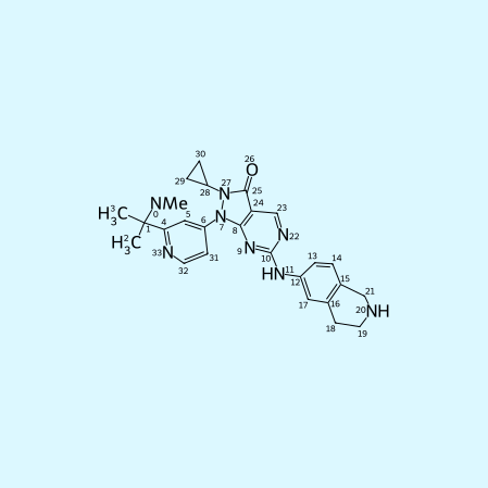 CNC(C)(C)c1cc(-n2c3nc(Nc4ccc5c(c4)CCNC5)ncc3c(=O)n2C2CC2)ccn1